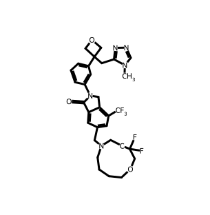 Cn1cnnc1CC1(c2cccc(N3Cc4c(cc(CN5CCCCOCC(F)(F)CC5)cc4C(F)(F)F)C3=O)c2)COC1